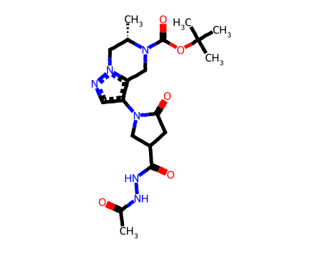 CC(=O)NNC(=O)C1CC(=O)N(c2cnn3c2CN(C(=O)OC(C)(C)C)[C@@H](C)C3)C1